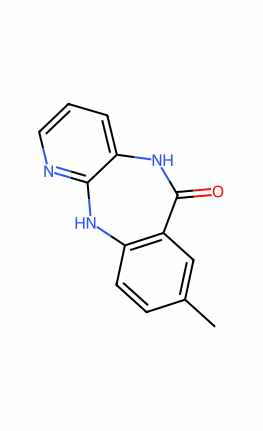 Cc1ccc2c(c1)C(=O)Nc1cccnc1N2